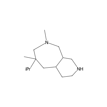 CC(C)C1(C)CC2CCNCC2CN(C)C1